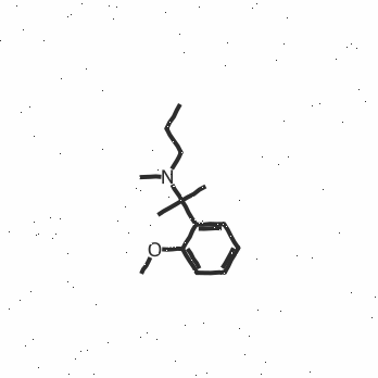 CCCN(C)C(C)(C)c1ccccc1OC